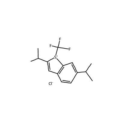 CC(C)c1ccc2cc(C(C)C)[s+](C(F)(F)F)c2c1.[Cl-]